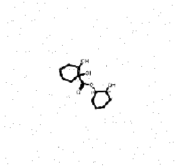 O=C(O[C@@H]1CCCC[C@@H]1O)C1(O)CCCCC1O